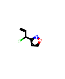 C=CC(Cl)c1ccon1